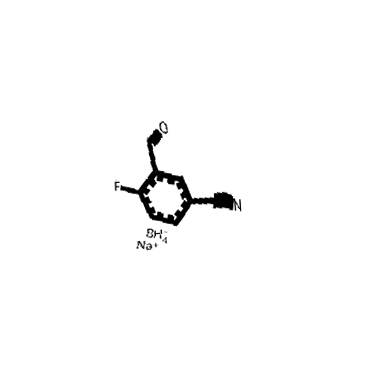 N#Cc1ccc(F)c(C=O)c1.[BH4-].[Na+]